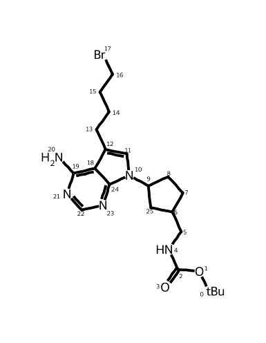 CC(C)(C)OC(=O)NCC1CCC(n2cc(CCCCBr)c3c(N)ncnc32)C1